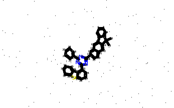 CC1(C)c2ccccc2-c2cc3cc(-c4nc(-c5ccccc5)nc(-c5cccc6sc7ccccc7c56)n4)ccc3cc21